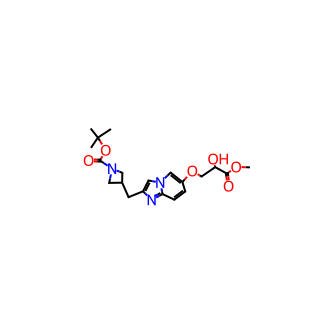 COC(=O)C(O)COc1ccc2nc(CC3CN(C(=O)OC(C)(C)C)C3)cn2c1